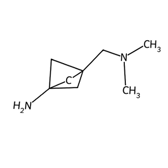 CN(C)CC12CC(N)(C1)C2